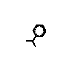 CC(C)c1[c][c]ccc1